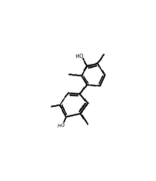 Cc1cc(-c2ccc(C)c(O)c2C)cc(C)c1O